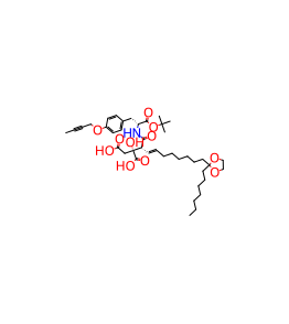 CC#CCOc1ccc(C[C@@H](NC(=O)[C@H](C=CCCCCCCC2(CCCCCCC)OCCO2)[C@](O)(CC(=O)O)C(=O)O)C(=O)OC(C)(C)C)cc1